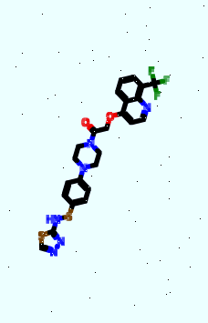 O=C(COc1ccnc2c(C(F)(F)F)cccc12)N1CCN(c2ccc(SNc3nncs3)cc2)CC1